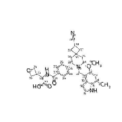 COc1cc(C)c2[nH]ccc2c1CN1CCC2(CC(C#N)C2)C[C@H]1c1ccc(C(=O)NC(C(=O)O)C2COC2)cc1